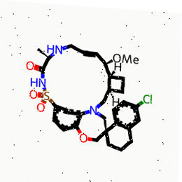 CO[C@@H]1/C=C/CN[C@H](C)C(=O)NS(=O)(=O)c2ccc3c(c2)N(C[C@@H]2CC[C@H]21)C[C@@]1(CCCc2cc(Cl)ccc21)CO3